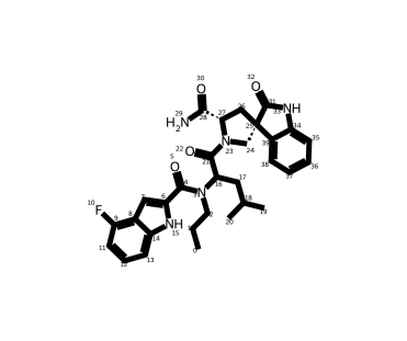 CCCN(C(=O)c1cc2c(F)cccc2[nH]1)C(CC(C)C)C(=O)N1C[C@]2(C[C@H]1C(N)=O)C(=O)Nc1ccccc12